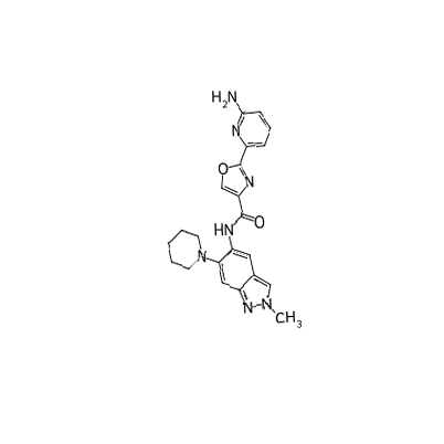 Cn1cc2cc(NC(=O)c3coc(-c4cccc(N)n4)n3)c(N3CCCCC3)cc2n1